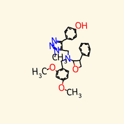 COc1ccc(CN(Cc2c(-c3ccc(O)cc3)nnn2C)C2OCC2c2ccccc2)c(OC)c1